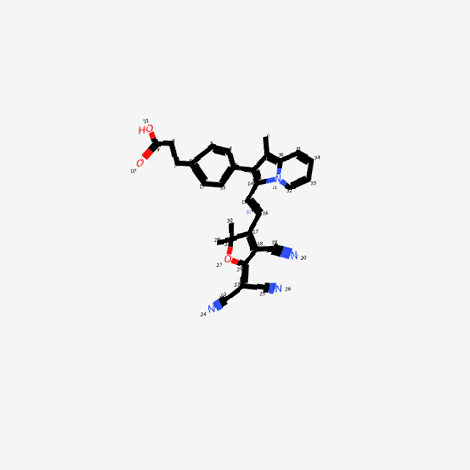 Cc1c(-c2ccc(CCC(=O)O)cc2)c(/C=C/C2=C(C#N)C(=C(C#N)C#N)OC2(C)C)n2ccccc12